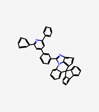 c1ccc(-c2cc(-c3cccc(-c4nc5cccc6c5n4-c4ccccc4C64c5ccccc5-c5ccccc54)c3)cc(-c3ccccc3)n2)cc1